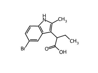 CCC(C(=O)O)c1c(C)[nH]c2ccc(Br)cc12